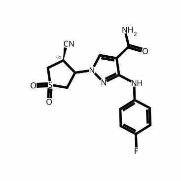 N#C[C@@H]1CS(=O)(=O)CC1n1cc(C(N)=O)c(Nc2ccc(F)cc2)n1